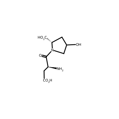 N[C@@H](CC(=O)O)C(=O)N1CC(O)C[C@H]1C(=O)O